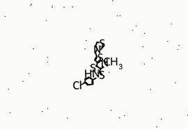 Cn1cc(C(=S)NCc2ccc(Cl)cc2)c(=S)c2cc(CN3CCSCC3)sc21